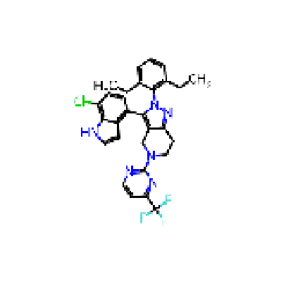 CCc1cccc(CC)c1-n1nc2c(c1-c1ccc(Cl)c3[nH]ccc13)CN(c1nccc(C(F)(F)F)n1)CC2